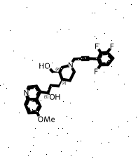 COc1ccc2nccc([C@@H](O)CC[C@@H]3CCN(CC#Cc4c(F)ccc(F)c4F)C[C@@H]3CO)c2c1